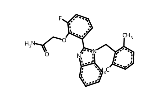 Cc1cccc(C)c1Cn1c(-c2cccc(F)c2OCC(N)=O)nc2ccccc21